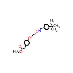 COC(=O)Cc1ccc(OCCCON=Cc2ccc(C(C)(C)C)cc2)cc1